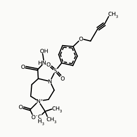 CC#CCOc1ccc(S(=O)(=O)N2CC[N+](C(=O)[O-])(C(C)(C)C)CCC2C(=O)NO)cc1